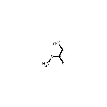 CCCCC(C)SN